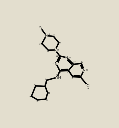 Clc1cc2c(NCC3CCCCC3)nc(N3CCN(I)CC3)nc2cn1